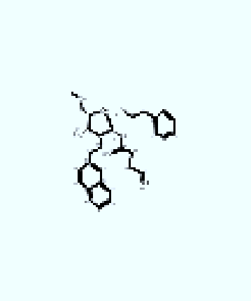 COC[C@H]1O[C@H](OCCc2ccccc2)[C@H](NC(=O)CCCN)[C@@H](OCc2ccc3ccccc3c2)[C@@H]1O